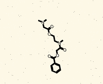 CN(C)CC(=O)OCCN(C)C(=O)COC(=O)c1ccccc1